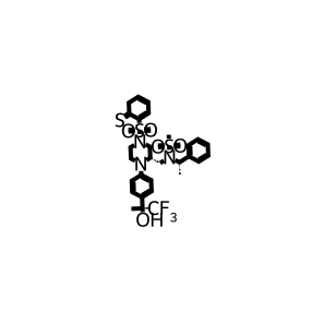 C[C@@H](c1ccccc1)N(C[C@H]1CN(S(=O)(=O)C2=CC=CCC2=S)CCN1c1ccc([C@](C)(O)C(F)(F)F)cc1)S(C)(=O)=O